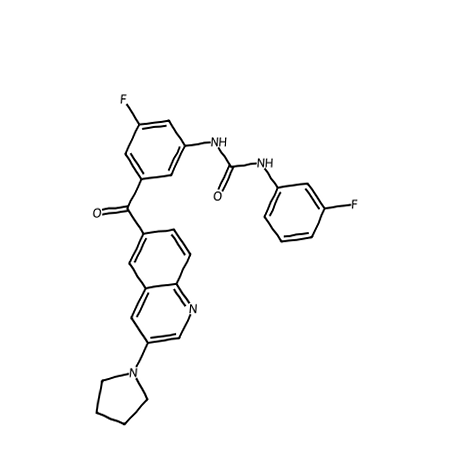 O=C(Nc1cccc(F)c1)Nc1cc(F)cc(C(=O)c2ccc3ncc(N4CCCC4)cc3c2)c1